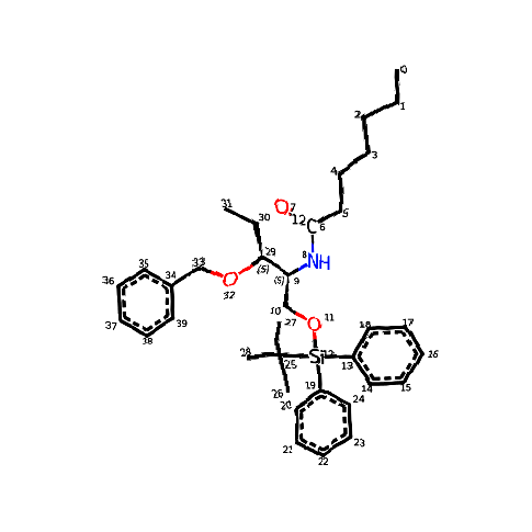 CCCCCC[12C](=O)N[C@@H](CO[Si](c1ccccc1)(c1ccccc1)C(C)(C)C)[C@H](CC)OCc1ccccc1